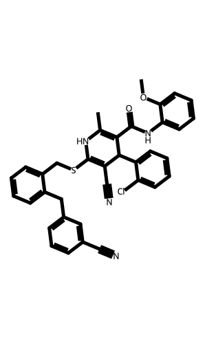 COc1ccccc1NC(=O)C1=C(C)NC(SCc2ccccc2Cc2cccc(C#N)c2)=C(C#N)C1c1ccccc1Cl